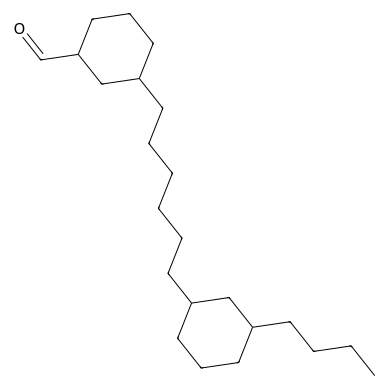 CCCCC1CCCC(CCCCCCC2CCCC(C=O)C2)C1